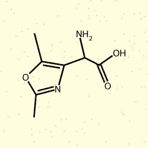 Cc1nc(C(N)C(=O)O)c(C)o1